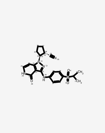 CC(C)S(=O)(=O)c1ccc(Nc2nn([C@H]3CCC[C@@H]3C#N)c3cc[nH]c(=O)c23)cc1